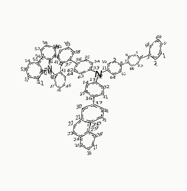 c1ccc(-c2ccc(-c3ccc(N(c4ccc(-c5ccc6c(ccc7ccccc76)c5)cc4)c4ccc(-c5ccccc5-c5ccccc5-n5c6ccccc6c6ccccc65)cc4)cc3)cc2)cc1